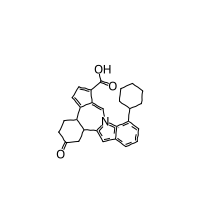 O=C1CCC2C3=CC=C(C(=O)O)C3=Cn3c(cc4cccc(C5CCCCC5)c43)C2C1